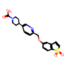 O=C(O)N1CCC(c2ccc(COc3ccc4c(c3)C=CS4(=O)=O)nc2)CC1